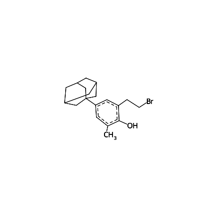 Cc1cc(C23CC4CC(CC(C4)C2)C3)cc(CCBr)c1O